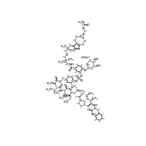 CCC(C)C([C@@H](CC(=O)N1CCC[C@H]1C(OC)[C@@H](C)C(=O)NC(Cc1ccccc1)C(=O)O)OC)N(C)C(=O)[C@@H](NC(=O)[C@H](C(C)C)N(C)C(=O)OCc1ccc(OS(=O)(=O)Oc2cc(C(=O)NCC(C)(C)COCC(C)(C)Cn3nnc4c3CCC3C(CC4)C3COC(N)=O)ccc2OC2C[C@@H](O)[C@@H](O)[C@@H](CO)O2)cc1)C(C)C